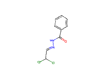 O=C(NN=CC(Cl)Cl)c1ccccc1